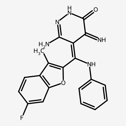 Cc1c(/C(Nc2ccccc2)=C2/C(=N)C(=O)NN=C2N)oc2cc(F)ccc12